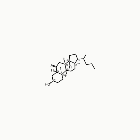 CCCC(C)[C@H]1CC[C@H]2[C@@H]3CC(=O)[C@H]4C[C@H](O)CC[C@]4(C)[C@H]3CC[C@]12C